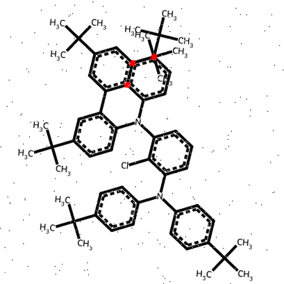 CC(C)(C)c1ccc(N(c2ccc(C(C)(C)C)cc2)c2cccc(N(c3ccc(C(C)(C)C)cc3)c3ccc(C(C)(C)C)cc3-c3cc(C(C)(C)C)cc(C(C)(C)C)c3)c2Cl)cc1